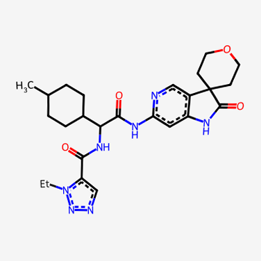 CCn1nncc1C(=O)NC(C(=O)Nc1cc2c(cn1)C1(CCOCC1)C(=O)N2)C1CCC(C)CC1